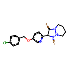 S=C1C(c2ccc(OCc3ccc(Cl)cc3)cn2)[N+](=S)N2CCCCN12